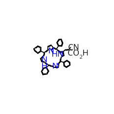 N#CC(=Cc1cc2[nH]c1c(-c1ccccc1)c1nc(c(-c3ccccc3)c3ccc([nH]3)c(-c3ccccc3)c3nc(c2-c2ccccc2)C=C3)C=C1)C(=O)O